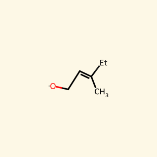 CC/C(C)=C/C[O]